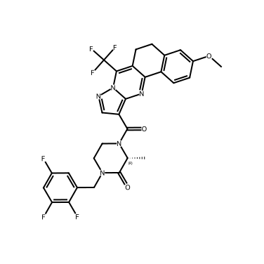 COc1ccc2c(c1)CCc1c-2nc2c(C(=O)N3CCN(Cc4cc(F)cc(F)c4F)C(=O)[C@H]3C)cnn2c1C(F)(F)F